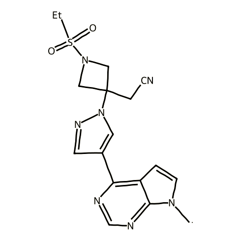 [CH2]n1ccc2c(-c3cnn(C4(CC#N)CN(S(=O)(=O)CC)C4)c3)ncnc21